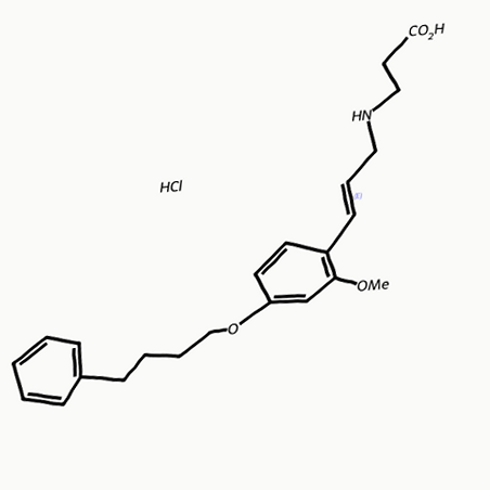 COc1cc(OCCCCc2ccccc2)ccc1/C=C/CNCCC(=O)O.Cl